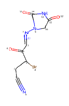 N#CCC(Br)C(=O)/C=N/N1CC(=O)NC1=O